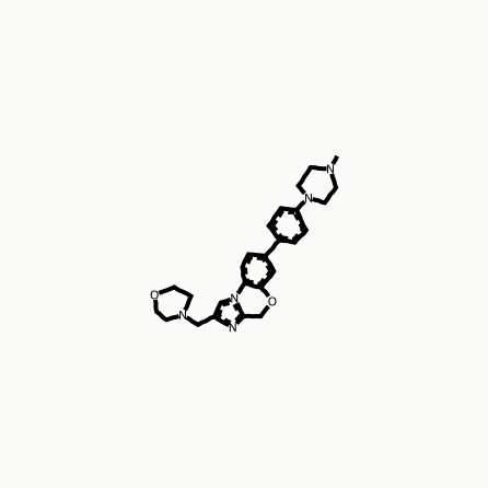 CN1CCN(c2ccc(-c3ccc4c(c3)OCc3nc(CN5CCOCC5)cn3-4)cc2)CC1